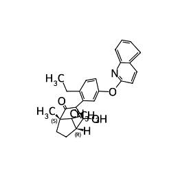 CCc1ccc(Oc2ccc3ccccc3n2)cc1C1=C(O)[C@@H]2CC[C@](C)(C1=O)C2(C)C